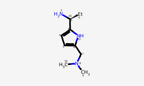 CC[C@H](N)c1ccc(CN(C)C)[nH]1